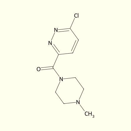 CN1CCN(C(=O)c2ccc(Cl)nn2)CC1